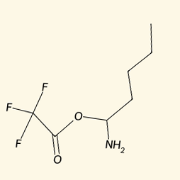 CCCCC(N)OC(=O)C(F)(F)F